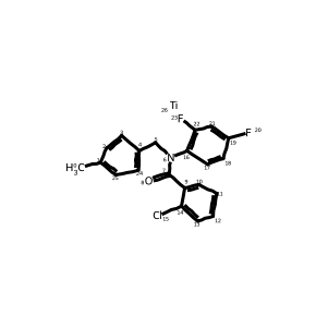 Cc1ccc(CN(C(=O)c2ccccc2Cl)c2ccc(F)[c]c2F)cc1.[Ti]